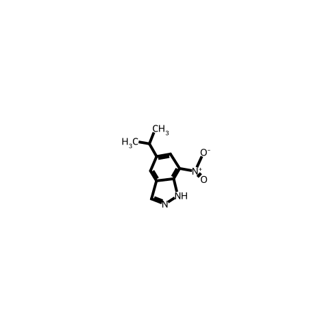 CC(C)c1cc([N+](=O)[O-])c2[nH]ncc2c1